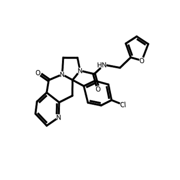 O=C(NCc1ccco1)N1CCN2C(=O)c3cccnc3CC12c1ccc(Cl)cc1